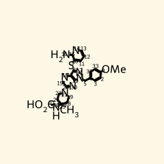 COc1ccc(Cn2nc(Sc3cccnc3N)c3ncc(N4CCC(C)(NC(=O)O)CC4)nc32)cc1